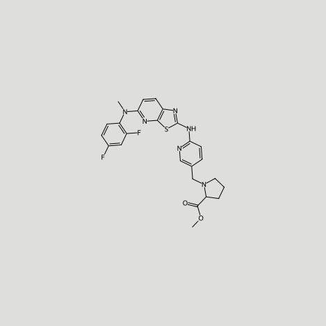 COC(=O)C1CCCN1Cc1ccc(Nc2nc3ccc(N(C)c4ccc(F)cc4F)nc3s2)nc1